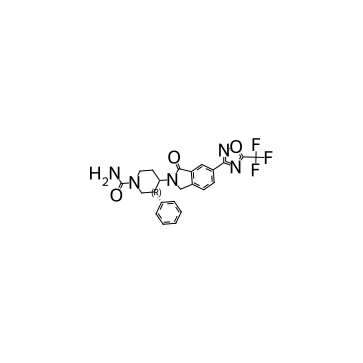 NC(=O)N1CCC(N2Cc3ccc(-c4noc(C(F)(F)F)n4)cc3C2=O)[C@H](c2ccccc2)C1